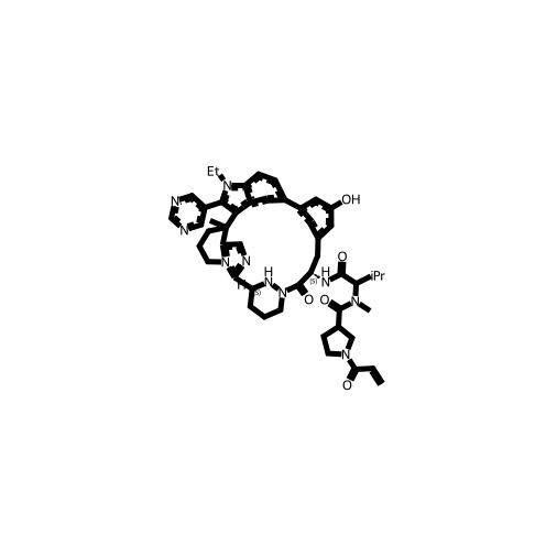 C=CC(=O)N1CCC(C(=O)N(C)C(C(=O)N[C@H]2Cc3cc(O)cc(c3)-c3ccc4c(c3)c(c(-c3cncnc3)n4CC)C3(C)CCCn4c3cnc4[C@@H]3CCCN(N3)C2=O)C(C)C)C1